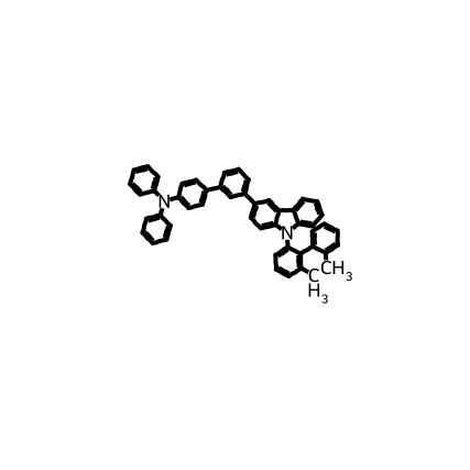 Cc1ccccc1-c1c(C)cccc1-n1c2ccccc2c2cc(-c3cccc(-c4ccc(N(c5ccccc5)c5ccccc5)cc4)c3)ccc21